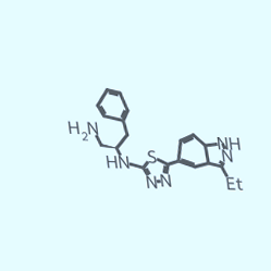 CCC1=NNC2C=CC(c3nnc(N[C@@H](CN)Cc4ccccc4)s3)=CC12